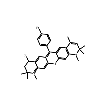 CCC1CC(C)(C)[N+](C)=c2cc3c(cc21)=C(c1ccc(C(C)C)cc1)c1cc2c(cc1O3)N(C)C(C)(C)C=C2C